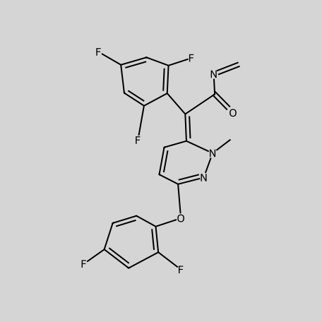 C=NC(=O)/C(=C1/C=CC(Oc2ccc(F)cc2F)=NN1C)c1c(F)cc(F)cc1F